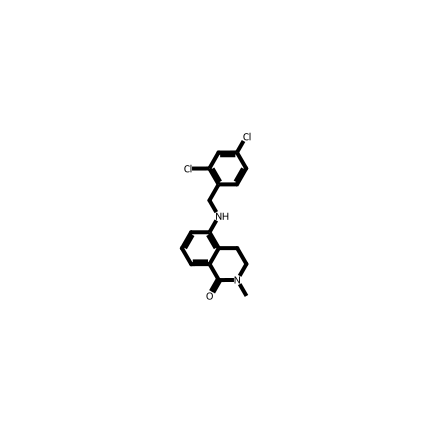 CN1CCc2c(NCc3ccc(Cl)cc3Cl)cccc2C1=O